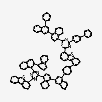 c1ccc(-c2ccc(-c3nc(-c4ccc(-c5cc(-c6ccccc6)c6ccccc6c5)c5ccccc45)nc(-c4cccc5c4sc4cccc(-c6ccc(-c7cc(-c8ccc(-c9nc(-c%10c(-c%11cccc%12ccccc%11%12)ccc%11ccccc%10%11)nc(-c%10cccc%11c%10sc%10ccccc%10%11)n9)c9ccccc89)cc8ccccc78)cc6)c45)n3)cc2)cc1